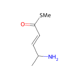 CSC(=O)/C=C/C(C)N